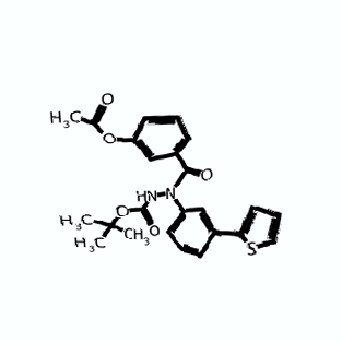 CC(=O)Oc1cccc(C(=O)N(NC(=O)OC(C)(C)C)c2cccc(-c3cccs3)c2)c1